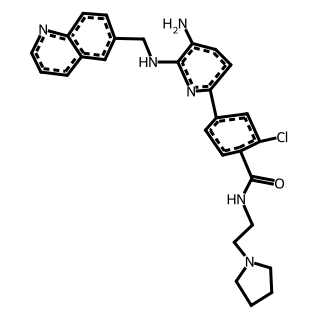 Nc1ccc(-c2ccc(C(=O)NCCN3CCCC3)c(Cl)c2)nc1NCc1ccc2ncccc2c1